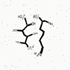 NCCCCC(N)C(=O)O.O=C(O)C(O)C(O)C(O)C(O)C(=O)O